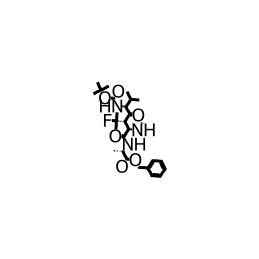 CN[C@@H](C(=O)N[C@@H](C)C(=O)OCc1ccccc1)[C@@H](C(=O)[C@@H](NC(=O)OC(C)(C)C)C(C)C)C(C)(C)F